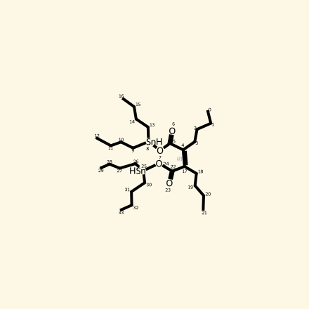 CCCC/C(C(=O)[O][SnH]([CH2]CCC)[CH2]CCC)=C(\CCCC)C(=O)[O][SnH]([CH2]CCC)[CH2]CCC